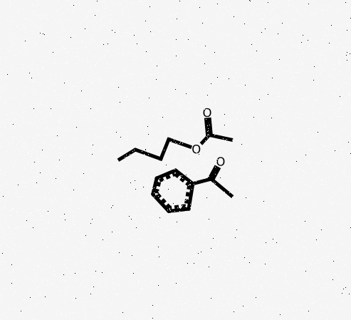 CC(=O)c1ccccc1.CCCCOC(C)=O